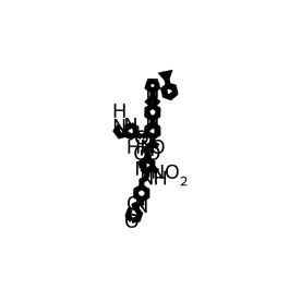 O=C(NS(=O)(=O)c1cnc(NCC2CCC(N=S3(=O)CCOCC3)CC2)c([N+](=O)[O-])c1)c1ccc(N2CCC3(CC2)CC(N2CCC[C@@H]2c2ccccc2C2CC2)C3)cc1Oc1cnc2[nH]ccc2c1